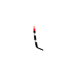 CC=C=C=O